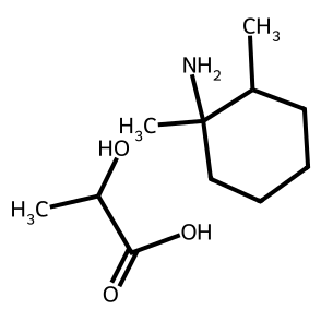 CC(O)C(=O)O.CC1CCCCC1(C)N